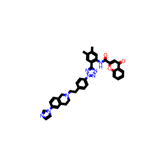 Cc1cc(NC(=O)c2cc(=O)c3ccccc3o2)c(-c2nnn(-c3ccc(CCN4CCc5cc(-n6ccnc6)ccc5C4)cc3)n2)cc1C